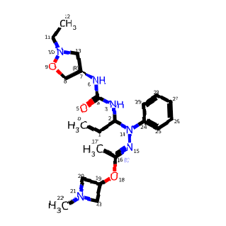 CCC(NC(=O)N[C@H]1CON(CC)C1)N(/N=C(\C)OC1CN(C)C1)c1ccccc1